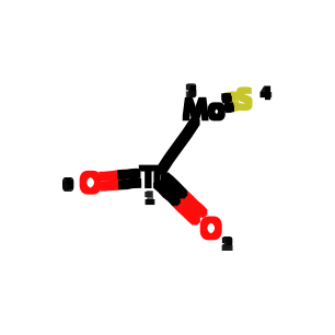 [O]=[Ti](=[O])[Mo]=[S]